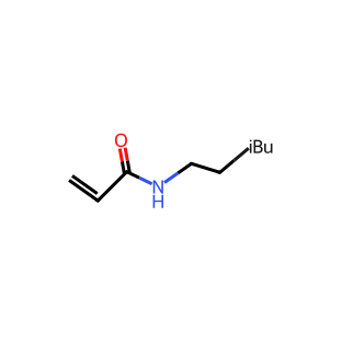 C=CC(=O)NCCC(C)CC